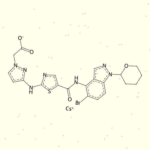 O=C([O-])Cn1ccc(Nc2ncc(C(=O)Nc3c(Br)ccc4c3cnn4C3CCCCO3)s2)n1.[Cs+]